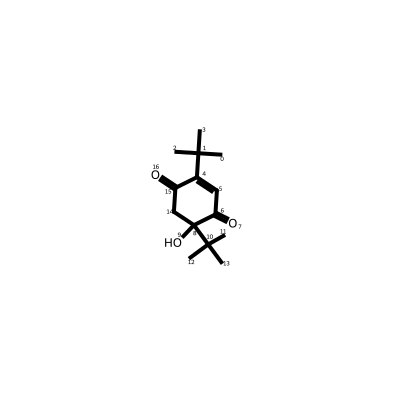 CC(C)(C)C1=CC(=O)C(O)(C(C)(C)C)CC1=O